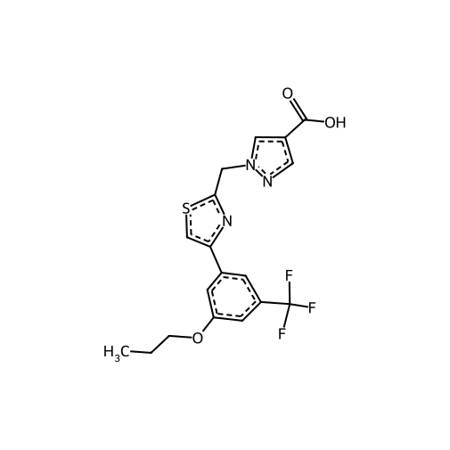 CCCOc1cc(-c2csc(Cn3cc(C(=O)O)cn3)n2)cc(C(F)(F)F)c1